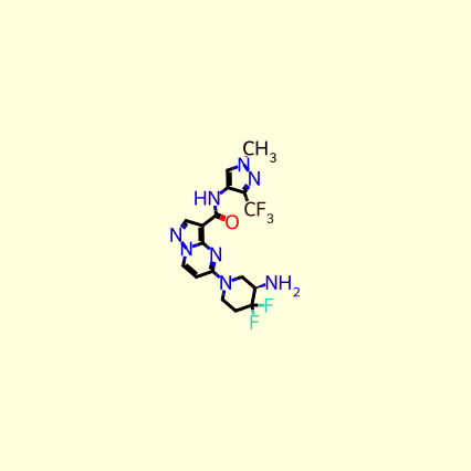 Cn1cc(NC(=O)c2cnn3ccc(N4CCC(F)(F)[C@H](N)C4)nc23)c(C(F)(F)F)n1